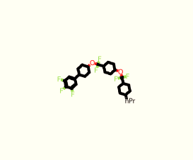 CCCC1CCC(C(F)(F)OC2CCC(C(F)(F)OC3CCC(c4cc(F)c(F)c(F)c4)CC3)CC2)CC1